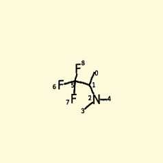 CC(N(C)C)C(F)(F)F